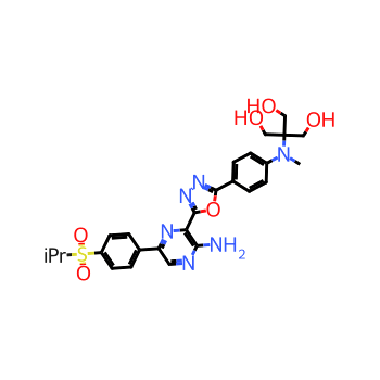 CC(C)S(=O)(=O)c1ccc(-c2cnc(N)c(-c3nnc(-c4ccc(N(C)C(CO)(CO)CO)cc4)o3)n2)cc1